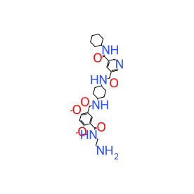 COc1cc(OC)c(C(=O)NC2CCC(NC(=O)c3cncc(C(=O)NC4CCCCC4)c3)CC2)cc1C(=O)NCCN